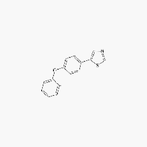 [c]1ccccc1Oc1ccc(-c2cncs2)cc1